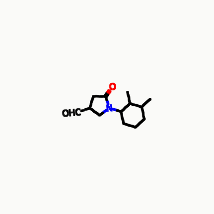 CC1CCCC(N2CC(C=O)CC2=O)C1C